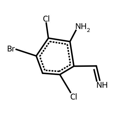 N=Cc1c(Cl)cc(Br)c(Cl)c1N